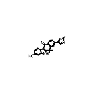 Cn1cc(-c2ccc3c(c2)C(C)(C)C2=C(C3=O)C3C=CC(C#N)=CC3N2)cn1